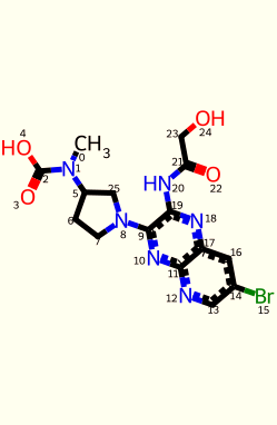 CN(C(=O)O)C1CCN(c2nc3ncc(Br)cc3nc2NC(=O)CO)C1